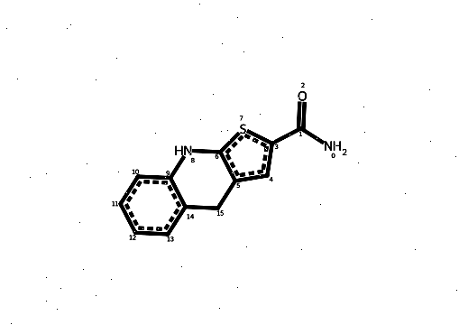 NC(=O)c1cc2c(s1)Nc1ccccc1C2